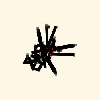 CC1/C=C\C(=O)OC2CC3OC4C=C(C(=O)O)CCC4(COC(=O)C(O)C(C)COC1=O)C2(C)C31CO1